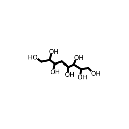 OCC(O)C(O)CC(O)C(O)C(O)CO